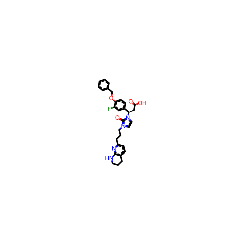 O=C(O)C[C@H](c1ccc(OCc2ccccc2)c(F)c1)n1ccn(CCCc2ccc3c(n2)NCCC3)c1=O